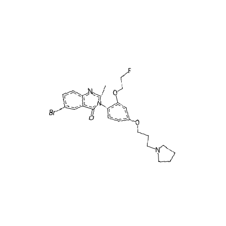 Cc1nc2ccc(Br)cc2c(=O)n1-c1ccc(OCCCN2CCCC2)cc1OCCF